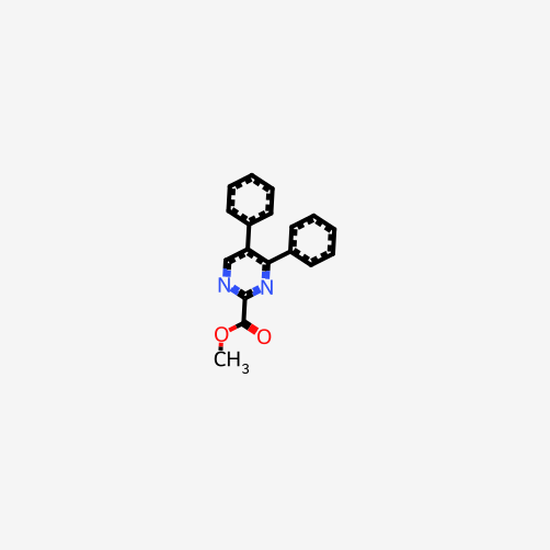 COC(=O)c1ncc(-c2ccccc2)c(-c2ccccc2)n1